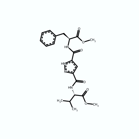 COC(=O)[C@H](Cc1ccccc1)NC(=O)c1cc(C(=O)N[C@H](C(=O)OC)C(C)C)n[nH]1